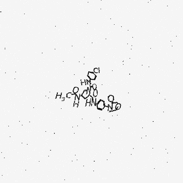 CC(=O)N[C@H]1C[C@H](C(=O)Nc2ccc(N3CCOCC3=O)cc2)N(C(=O)Nc2ccc(Cl)cc2)C1